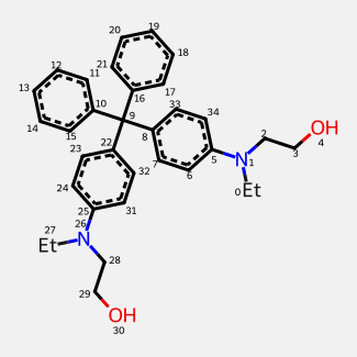 CCN(CCO)c1ccc(C(c2ccccc2)(c2ccccc2)c2ccc(N(CC)CCO)cc2)cc1